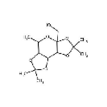 CC1OC2(CO)OC(C)(C)OC2C2OC(C)(C)OC12